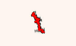 CC(C)[C@@H](C(=O)N1C[C@H](O)C[C@H]1NC(=O)Cc1ccc2c(c1)OCc1ncsc1-2)c1cc(OCCCCC(=O)N2CCN(CC[C@H](CSc3ccccc3)Nc3ccc(S(=O)(=O)NC(=O)c4ccc5c(c4)OC[C@@H]4CN(CC6=C(c7ccc(Cl)cc7)CCC(C)(C)C6)CCN54)cc3S(=O)(=O)C(F)(F)F)CC2)no1